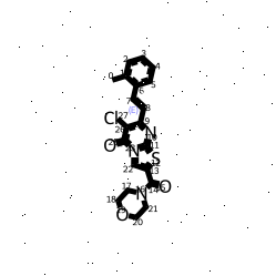 Cc1ccccc1/C=C/c1nc2sc(C(=O)N3CCOCC3)cn2c(=O)c1Cl